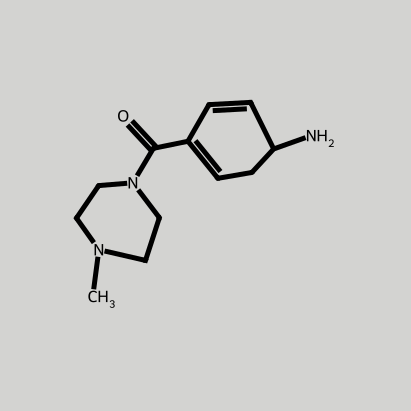 CN1CCN(C(=O)C2=CCC(N)C=C2)CC1